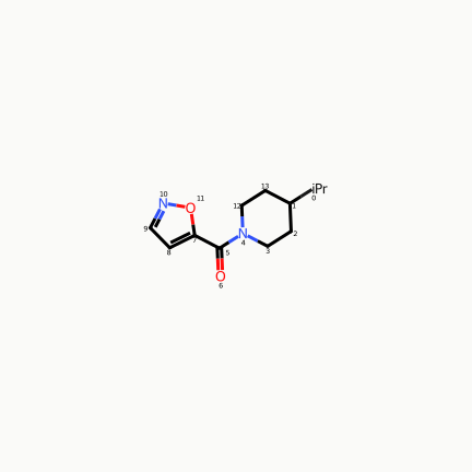 CC(C)C1CCN(C(=O)c2ccno2)CC1